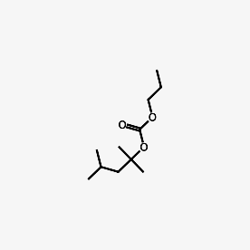 CCCOC(=O)OC(C)(C)CC(C)C